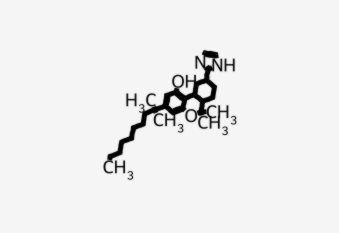 CCCCCCCCC(C)(C)c1cc(O)c2c(c1)OC(C)(C)C1CCC(c3ncc[nH]3)CC21